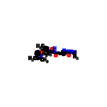 CCNC(=O)Nc1ccc(C=CC(=O)NCC(=O)N(C)c2ccc(C)c(COc3cccc4c(C)cc(C)nc34)c2C)cn1